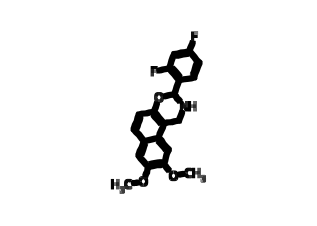 COc1cc2ccc3c(c2cc1OC)CNC(c1ccc(F)cc1F)O3